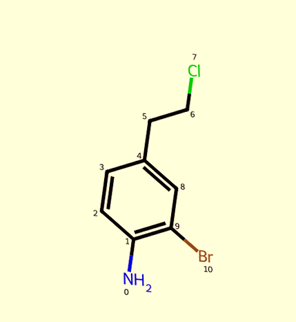 Nc1ccc(CCCl)cc1Br